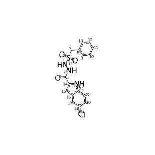 O=C(NNS(=O)(=O)Cc1ccccc1)c1cc2cc(Cl)ccc2[nH]1